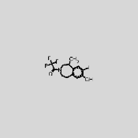 CC1CN(C(=O)C(F)(F)F)CCc2cc(O)c(I)cc21